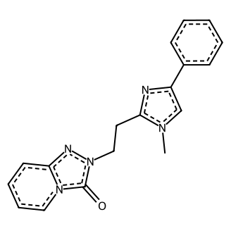 Cn1cc(-c2ccccc2)nc1CCn1nc2ccccn2c1=O